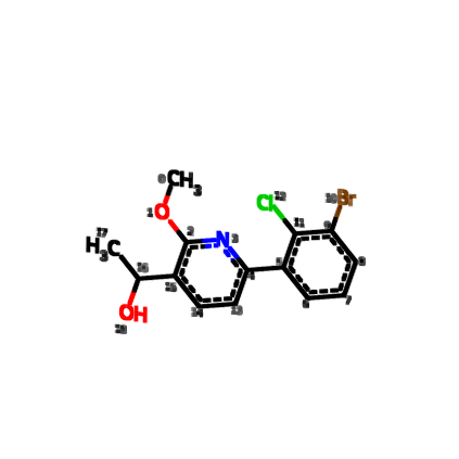 COc1nc(-c2cccc(Br)c2Cl)ccc1C(C)O